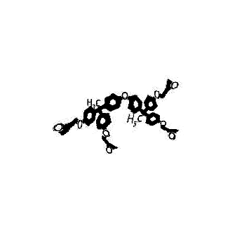 CC(c1ccc(OCC2CO2)cc1)(c1ccc(OCC2CO2)cc1)c1ccc(Oc2ccc(C(C)(c3ccc(OCC4CO4)cc3)c3ccc(OCC4CO4)cc3)cc2)cc1